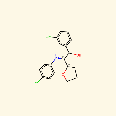 OC(c1cccc(Cl)c1)[C@H](Nc1ccc(Cl)cc1)[C@H]1CCCO1